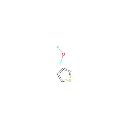 FOF.c1ccsc1